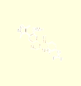 COc1cc2c(NC3CCC(OC(F)F)CC3)c(N)cnc2cc1-c1c(C)noc1C